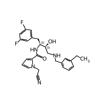 CCc1cccc(CNC[C@H](O)[C@H](Cc2cc(F)cc(F)c2)NC(=O)c2cccn2CC#N)c1